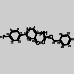 O=C(NC1=CN=C(c2ccc(F)cc2)[N]C1=O)OCc1ccccc1